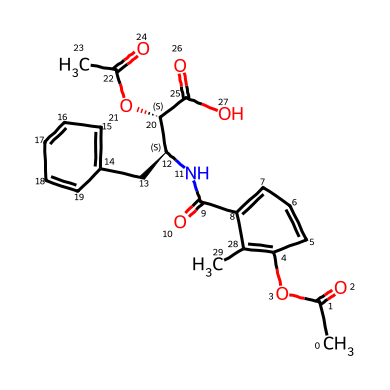 CC(=O)Oc1cccc(C(=O)N[C@@H](Cc2ccccc2)[C@H](OC(C)=O)C(=O)O)c1C